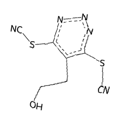 N#CSc1nnnc(SC#N)c1CCO